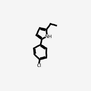 CCc1ccc(-c2ccc(Cl)cc2)[nH]1